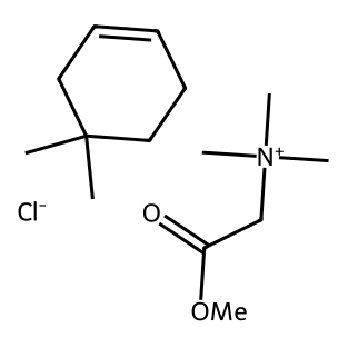 CC1(C)CC=CCC1.COC(=O)C[N+](C)(C)C.[Cl-]